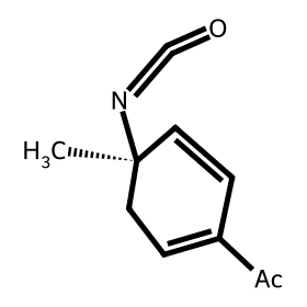 CC(=O)C1=CC[C@@](C)(N=C=O)C=C1